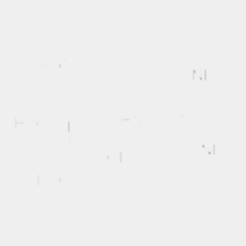 CC[PH](O)(O)O.N=C(N)S